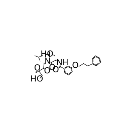 CC(C)C[C@H](NC(=O)[C@H](CO)NC(=O)c1cccc(OCCCc2ccccc2)c1)C(=O)C1(CO)CO1